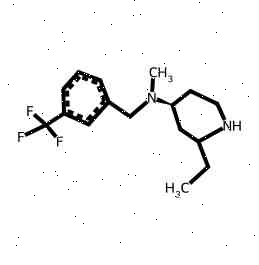 CCC1C[C@@H](N(C)Cc2cccc(C(F)(F)F)c2)CCN1